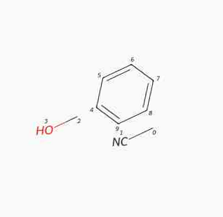 CC#N.CO.c1ccccc1